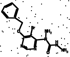 NNC(=O)N(N)c1ncnc(OCc2ccccc2)c1Br